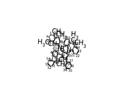 CC1(C)CCC(C)(C)c2cc(N3B4c5cccc6c5N(c5ccccc5C6(C)C)c5cc(-c6ccccc6)cc(c54)-c4c3ccc3c4C(C)(C)c4ccccc4-3)ccc21